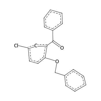 O=C(c1ccccc1)c1cc(Cl)ccc1OCc1ccccc1